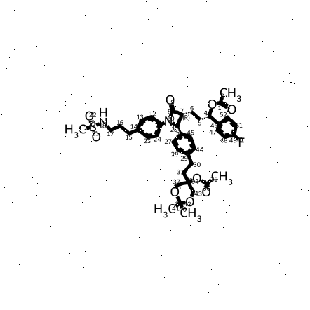 CC(=O)O[C@@H](CC[C@H]1C(=O)N(c2ccc(CCCNS(C)(=O)=O)cc2)[C@@H]1c1ccc(CCC2(OC(C)=O)COC(C)(C)OC2)cc1)c1ccc(F)cc1